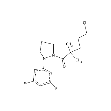 CC(C)(CCCCl)C(=O)N1CCCN1c1cc(F)cc(F)c1